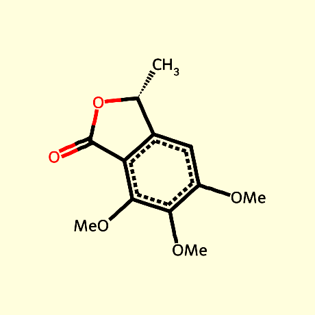 COc1cc2c(c(OC)c1OC)C(=O)O[C@@H]2C